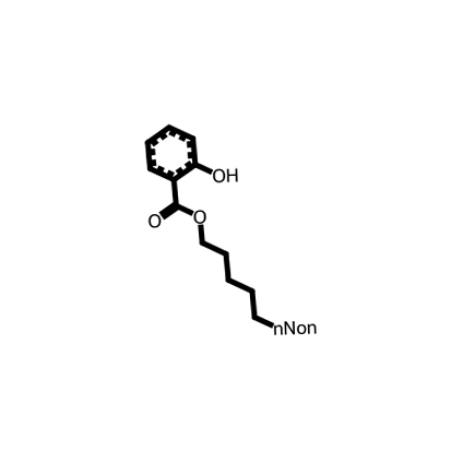 CCCCCCCCCCCCCCOC(=O)c1ccccc1O